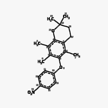 Cc1c(C)c2c(c(C)c1Oc1ccc([N+](=O)[O-])cc1)CCC(C)(C)O2